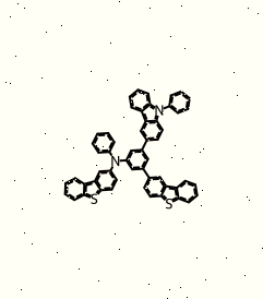 c1ccc(N(c2cc(-c3ccc4sc5ccccc5c4c3)cc(-c3ccc4c(c3)c3ccccc3n4-c3ccccc3)c2)c2ccc3sc4ccccc4c3c2)cc1